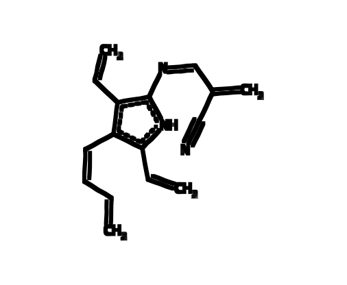 C=C/C=C\c1c(C=C)[nH]c(/N=C\C(=C)C#N)c1C=C